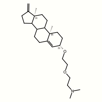 C=C1CCC2C3CCC4=C[C@@H](OCCOCCN(C)C)CC[C@]4(C)C3CC[C@]12C